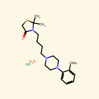 COc1ccccc1N1CCN(CCCCN2C(=O)CSC2(C)C)CC1.Cl.O